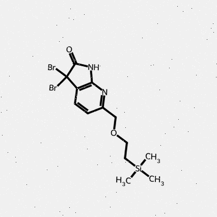 C[Si](C)(C)CCOCc1ccc2c(n1)NC(=O)C2(Br)Br